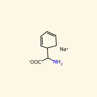 NC(C(=O)[O-])C1C=CC=CC1.[Na+]